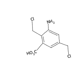 Nc1cc(CCl)cc(C(=O)O)c1CCl